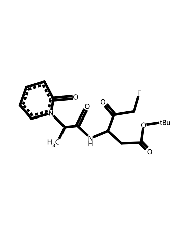 CC(C(=O)NC(CC(=O)OC(C)(C)C)C(=O)CF)n1ccccc1=O